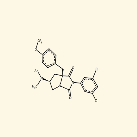 CC(=O)N(C)[C@@H]1CN2C(=O)N(c3cc(Cl)cc(Cl)c3)C(=O)[C@@]2(Cc2ccc(OC(F)(F)F)cc2)C1